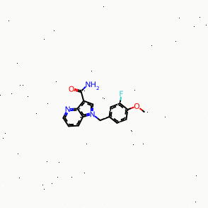 COc1ccc(Cn2cc(C(N)=O)c3ncccc32)cc1F